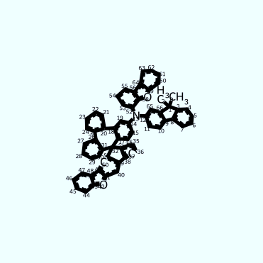 CC1(C)c2ccccc2-c2ccc(N(c3ccc4c(c3)-c3ccccc3-c3ccccc3C43c4ccccc4-c4cc5oc6ccccc6c5cc43)c3cccc4c3oc3ccccc34)cc21